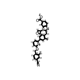 COC(=O)c1ccc2nc(Cc3ccc(-c4cccc(OCc5ccc(C#N)cc5F)n4)cc3F)n(C3COC3)c2c1